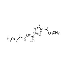 [CH2]OCc1ccc(C(=O)OCCCC)o1